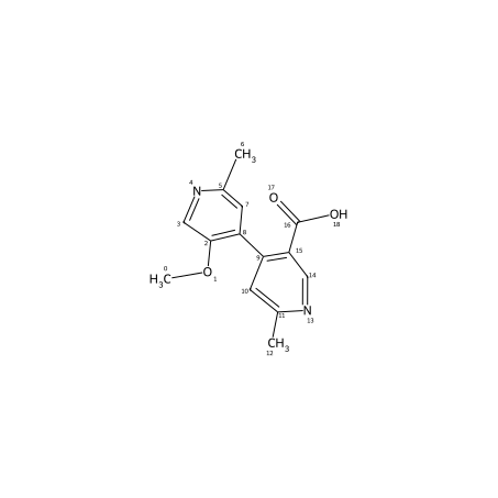 COc1cnc(C)cc1-c1cc(C)ncc1C(=O)O